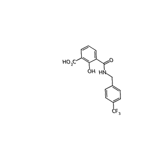 O=C(O)c1cccc(C(=O)NCc2ccc(C(F)(F)F)cc2)c1O